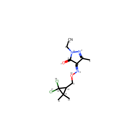 CC1=NN(CC#N)C(=O)C1=NOCC1C(C)(C)C1(Cl)Cl